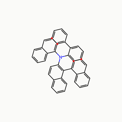 c1ccc(-c2ccccc2N(c2ccc3ccccc3c2-c2cccc3ccccc23)c2cccc3ccccc23)cc1